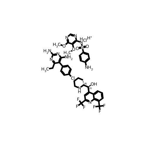 CCc1nc(N)nc(N)c1-c1ccc(Cl)cc1.COc1ncnc(NS(=O)(=O)c2ccc(N)cc2)c1OC.O[C@@H](c1cc(C(F)(F)F)nc2c(C(F)(F)F)cccc12)[C@H]1CCCCN1.[Cl-].[H+]